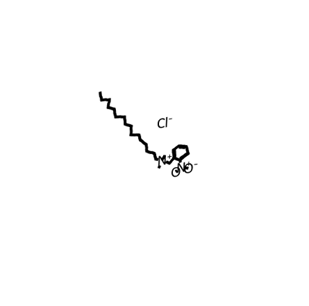 CCCCCCCCCCCCCCCC[N+](C)(C)Cc1ccccc1[N+](=O)[O-].[Cl-]